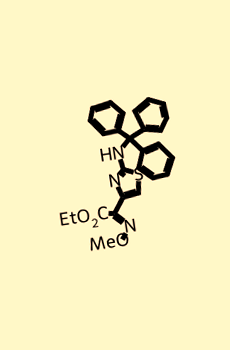 CCOC(=O)/C(=N\OC)c1csc(NC(c2ccccc2)(c2ccccc2)c2ccccc2)n1